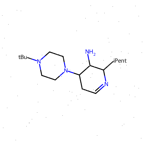 CCCC(C)C1N=CCC(N2CCN(C(C)(C)C)CC2)C1N